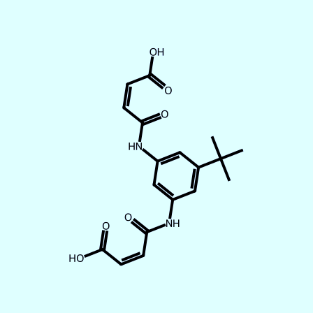 CC(C)(C)c1cc(NC(=O)/C=C\C(=O)O)cc(NC(=O)/C=C\C(=O)O)c1